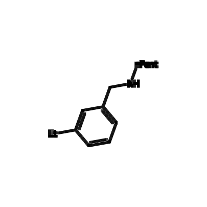 CCCCCNCc1cccc(CC)c1